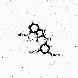 CCCN(CCC)c1cccc2nc(Nc3cc(OC)cc(OC)c3)n(C)c12